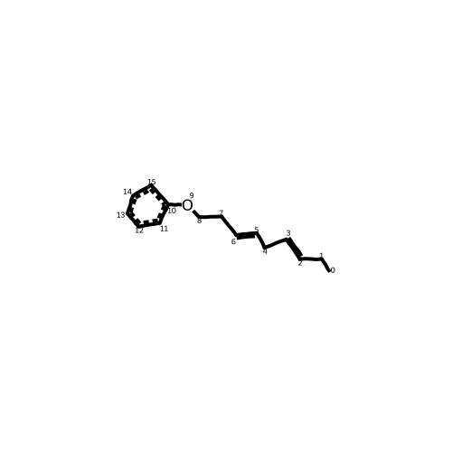 CCC=CCC=CCCOc1ccccc1